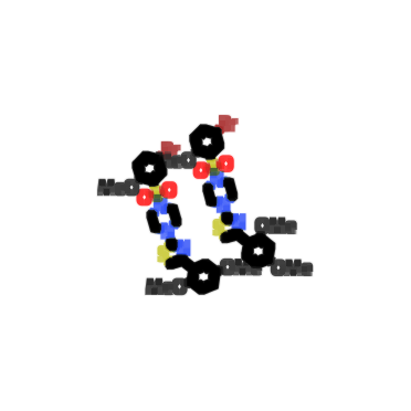 COc1ccc(-c2csc(N3CCN(S(=O)(=O)c4cc(Br)ccc4OC)CC3)n2)c(OC)c1.COc1ccc(OC)c(-c2csc(N3CCN(S(=O)(=O)c4cc(Br)ccc4OC)CC3)n2)c1